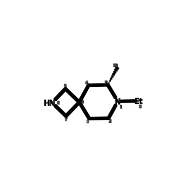 CCN1CCC2(CNC2)C[C@@H]1C